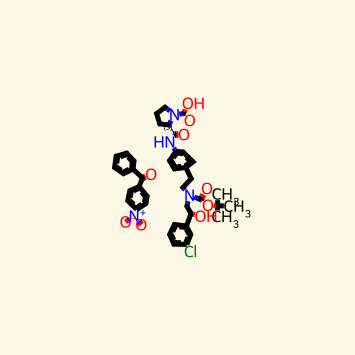 CC(C)(C)OC(=O)N(CCc1ccc(NC(=O)[C@@H]2CCCN2C(=O)O)cc1)CC(O)c1cccc(Cl)c1.O=C(c1ccccc1)c1ccc([N+](=O)[O-])cc1